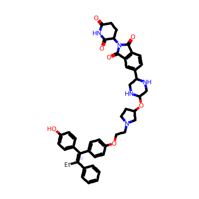 CC/C(=C(\c1ccc(O)cc1)c1ccc(OCCN2CCC(OC3CNC(c4ccc5c(c4)C(=O)N(C4CCC(=O)NC4=O)C5=O)CN3)C2)cc1)c1ccccc1